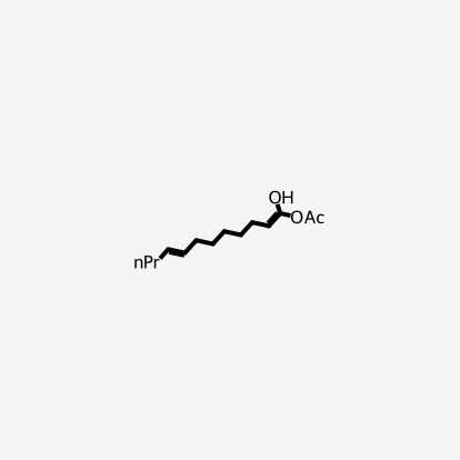 CCC/C=C/CCCCC/C=C(\O)OC(C)=O